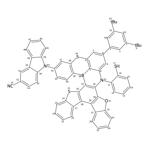 CC(C)(C)c1cc(-c2cc3c4c(c2)N(c2ccccc2S)c2c(c5sc6ccccc6c5c5c2oc2ccccc25)B4c2ccc(-n4c5ccccc5c5cc(C#N)ccc54)cc2S3)cc(C(C)(C)C)c1